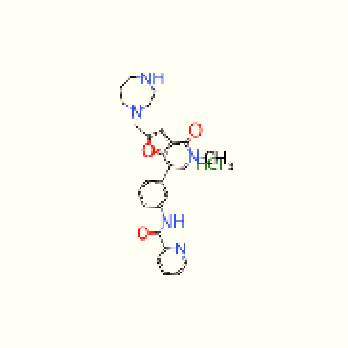 Cl.Cn1cc(-c2cccc(NC(=O)c3ccccn3)c2)c2oc(CN3CCCNCC3)cc2c1=O